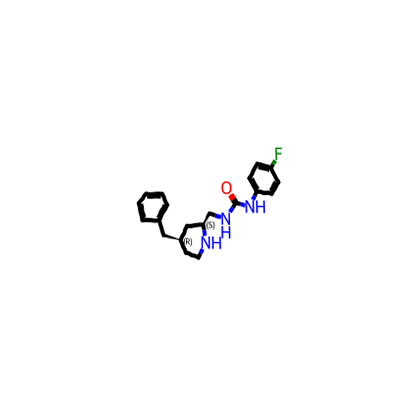 O=C(NC[C@@H]1C[C@H](Cc2ccccc2)CCN1)Nc1ccc(F)cc1